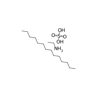 CCCCCCCCCCCCCC.CCN.O=S(=O)(O)O